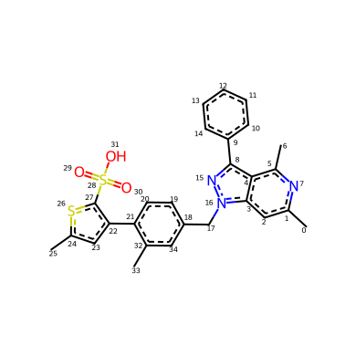 Cc1cc2c(c(C)n1)c(-c1ccccc1)nn2Cc1ccc(-c2cc(C)sc2S(=O)(=O)O)c(C)c1